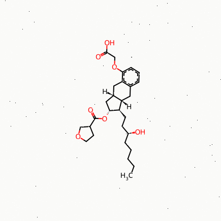 CCCCC[C@H](O)CC[C@@H]1[C@H]2Cc3cccc(OCC(=O)O)c3C[C@H]2C[C@H]1OC(=O)C1CCOC1